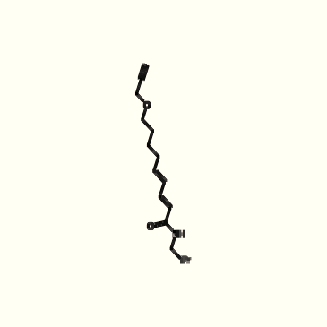 C#CCOCCCCC=CC=CC(=O)NCC(C)C